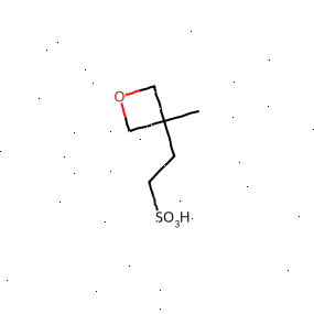 CC1(CCS(=O)(=O)O)COC1